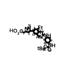 CCc1cc(-c2cc(CC(=O)O)nn2C)cc2cnc(NC3CCC(NC(=O)OC(C)(C)C)CC3)nc12